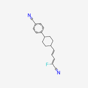 N#CC(F)=CC=CC1CCC(c2ccc(C#N)cc2)CC1